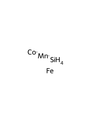 [Co].[Fe].[Mn].[SiH4]